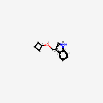 c1ccc2c(COC3CCC3)c[nH]c2c1